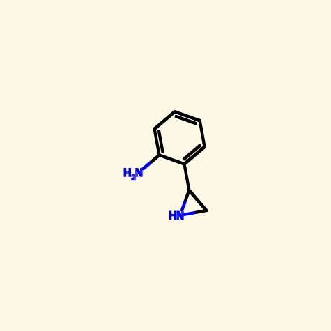 Nc1ccccc1C1CN1